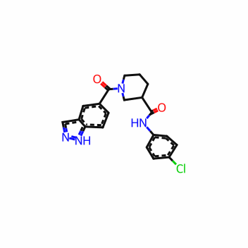 O=C(Nc1ccc(Cl)cc1)C1CCCN(C(=O)c2ccc3[nH]ncc3c2)C1